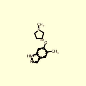 Cc1cc2cn[nH]c2cc1O[C@@H]1CCN(C)C1